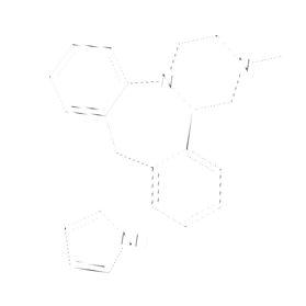 CN1CCN2c3ccccc3Cc3ccccc3C2C1.c1cc[nH]c1